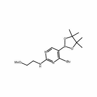 COCCNc1ncc(B2OC(C)(C)C(C)(C)O2)c(C(C)(C)C)n1